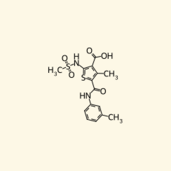 Cc1cccc(NC(=O)c2sc(NS(C)(=O)=O)c(C(=O)O)c2C)c1